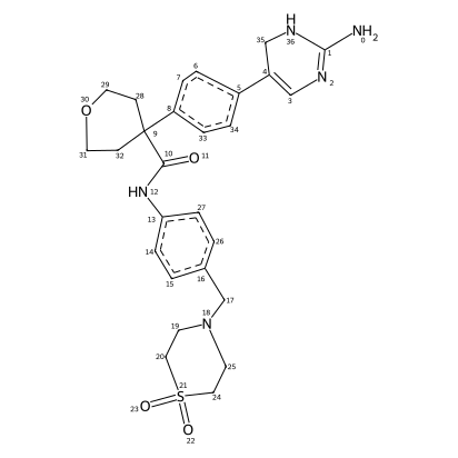 NC1=NC=C(c2ccc(C3(C(=O)Nc4ccc(CN5CCS(=O)(=O)CC5)cc4)CCOCC3)cc2)CN1